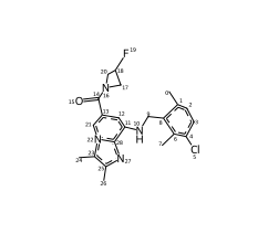 Cc1ccc(Cl)c(C)c1CNc1cc(C(=O)N2CC(F)C2)cn2c(C)c(C)nc12